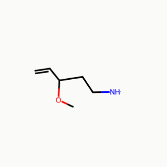 C=CC(CC[NH])OC